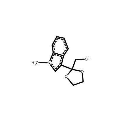 Cn1cc(C2(CO)OCCO2)c2ccccc21